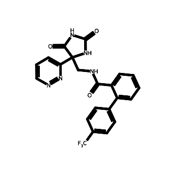 O=C1NC(=O)C(CNC(=O)c2ccccc2-c2ccc(C(F)(F)F)cc2)(c2cccnn2)N1